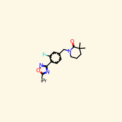 CC(C)c1nc(-c2ccc(CN3CCCC(C)(C)C3=O)cc2F)no1